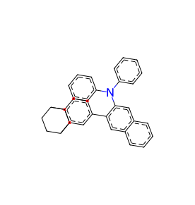 c1ccc(N(c2ccccc2)c2cc3ccccc3cc2-c2ccc3c(c2)C2CCC3CC2)cc1